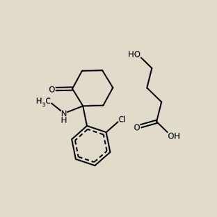 CNC1(c2ccccc2Cl)CCCCC1=O.O=C(O)CCCO